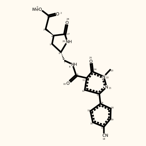 COC(=O)C[C@@H]1C[C@@H](CNC(=O)c2cc(-c3ccc(C#N)cc3)nn(C)c2=O)NC1=O